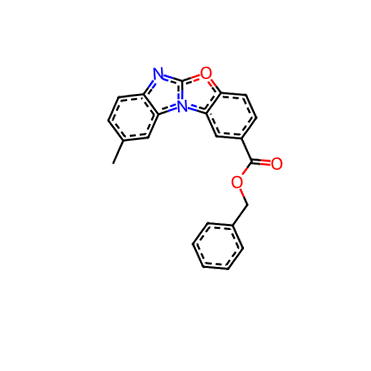 Cc1ccc2nc3oc4ccc(C(=O)OCc5ccccc5)cc4n3c2c1